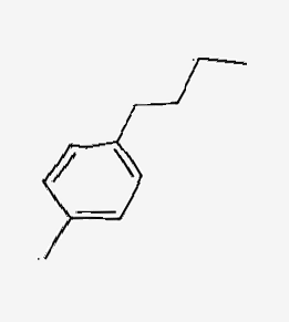 [CH2]c1ccc(CC[CH]C)cc1